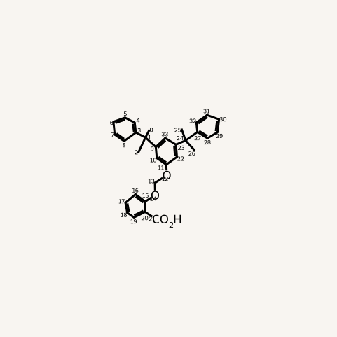 CC(C)(c1ccccc1)c1cc(OCOc2ccccc2C(=O)O)cc(C(C)(C)c2ccccc2)c1